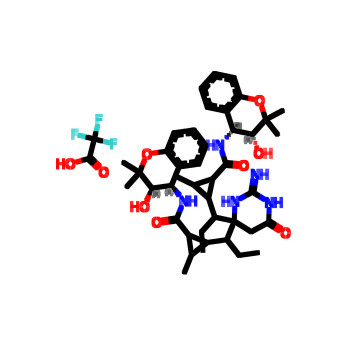 CCC(C1C(C)C1C(=O)N[C@@H]1c2ccccc2OC(C)(C)[C@@H]1O)C1(C(CC)C2C(C)C2C(=O)N[C@@H]2c3ccccc3OC(C)(C)[C@@H]2O)CC(=O)NC(=N)N1.O=C(O)C(F)(F)F